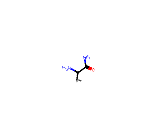 [CH2]CCC(N)C(N)=O